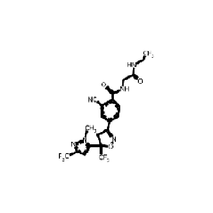 Cn1nc(C(F)(F)F)cc1C1(C(F)(F)F)CC(c2ccc(C(=O)NCC(=O)NCC(F)(F)F)c(C#N)c2)=NO1